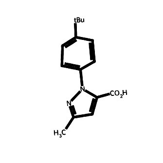 Cc1cc(C(=O)O)n(-c2ccc(C(C)(C)C)cc2)n1